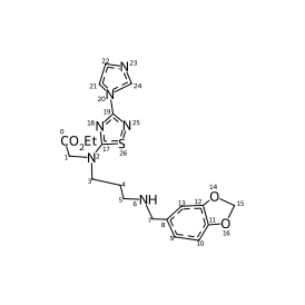 CCOC(=O)CN(CCCNCc1ccc2c(c1)OCO2)c1nc(-n2ccnc2)ns1